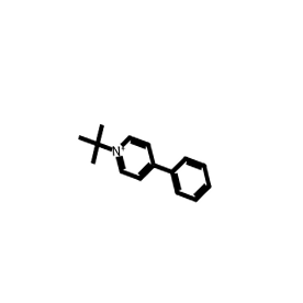 CC(C)(C)[n+]1ccc(-c2ccccc2)cc1